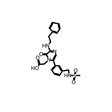 CS(=O)(=O)NCc1cccc(-c2cnc(NCCc3ccccc3)c(=O)n2CC(=O)O)c1